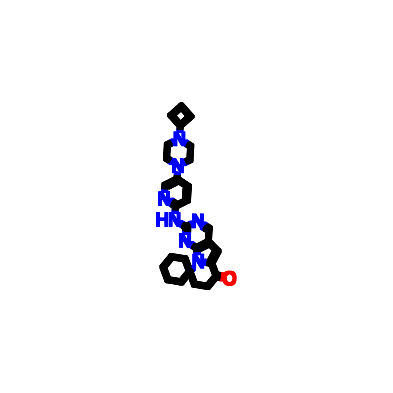 O=C1CCC2(CCCCC2)n2c1cc1cnc(Nc3ccc(N4CCN(C5CCC5)CC4)cn3)nc12